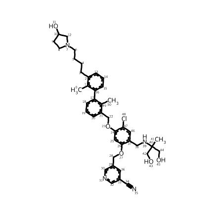 Cc1c(CCCCN2CCC(O)C2)cccc1-c1cccc(COc2cc(OCc3cncc(C#N)c3)c(CNC(C)(CO)CO)cc2Cl)c1C